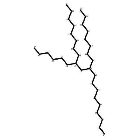 CCCCCCCCC[C](CCCCCCCC)CC(CCCCCC)CCCCCCCC